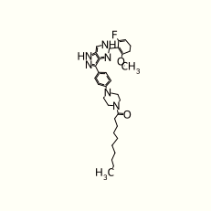 CCCCCCCCCC(=O)N1CCN(c2ccc(-c3n[nH]c4c3=NC(C3=C(OC)CCC=C3F)NC=4)cc2)CC1